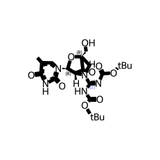 Cc1cn([C@@H]2O[C@@]3(CO)CN(/C(=N\C(=O)OC(C)(C)C)NC(=O)OC(C)(C)C)[C@H]2C3O)c(=O)[nH]c1=O